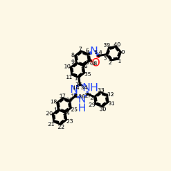 c1ccc(-c2nc3ccc4ccc(C5N=C(c6ccc7ccccc7c6)NC(c6ccccc6)N5)cc4c3o2)cc1